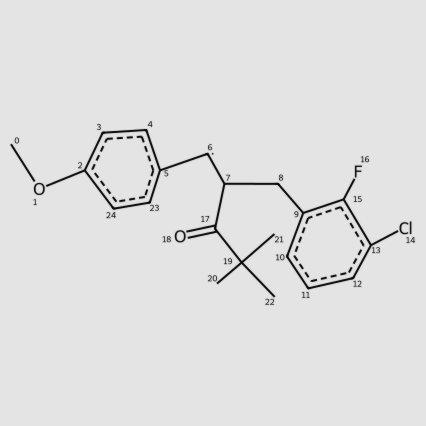 COc1ccc([CH]C(Cc2cccc(Cl)c2F)C(=O)C(C)(C)C)cc1